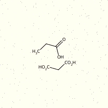 CCC(=O)O.O=C(O)CC(=O)O